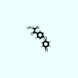 CCCC(Br)C(=O)c1ccc(Oc2ccc(Cl)cc2)cc1